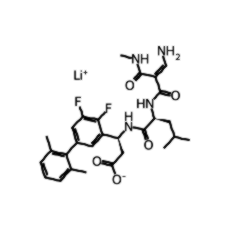 CNC(=O)/C(=C\N)C(=O)N[C@@H](CC(C)C)C(=O)N[C@@H](CC(=O)[O-])c1cc(-c2c(C)cccc2C)cc(F)c1F.[Li+]